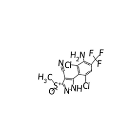 C[S+]([O-])c1n[nH]c(-c2c(Cl)cc(C(F)(F)F)c(N)c2Cl)c1C#N